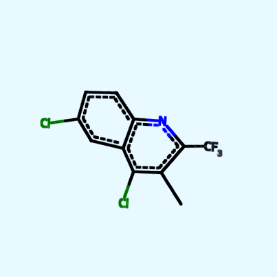 Cc1c(C(F)(F)F)nc2ccc(Cl)cc2c1Cl